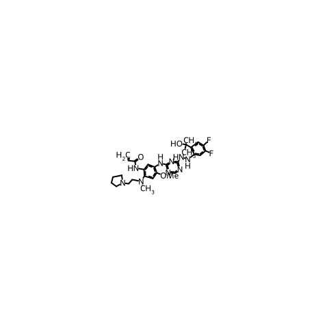 C=CC(=O)Nc1cc(Nc2ncnc(NNc3cc(F)c(F)cc3C(C)(C)O)n2)c(OC)cc1N(C)CCN1CCCC1